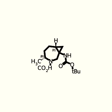 C[C@@H]1CC[C@@H]2CC2(NC(=O)OC(C)(C)C)CN1C(=O)O